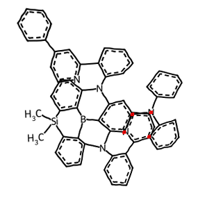 C[Si]1(C)c2cccc3c2B2c4c(cc(N(c5ccccc5)c5ccccc5)cc4N(c4ccccc4-c4cc(-c5ccccc5)ccn4)c4cccc1c42)N3c1ccccc1-c1ccccn1